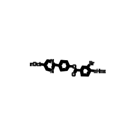 CCCCCCCCc1cnc(-c2ccc(OC(=O)c3ccc(CCCCCC)c(Br)c3)cc2)nc1